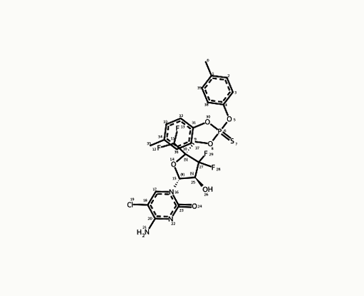 Cc1ccc(OP(=S)(OC[C@@]2(C(F)F)O[C@@H](n3cc(Cl)c(N)nc3=O)[C@H](O)C2(F)F)Oc2ccc(C)cc2)cc1